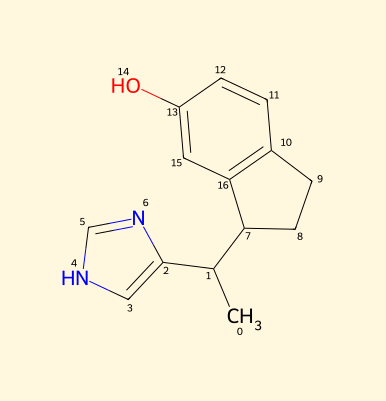 CC(c1c[nH]cn1)C1CCc2ccc(O)cc21